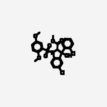 COC(=O)C1N(S(=O)(=O)c2cc(OC)ccc2OC)c2ccc(Cl)cc2C1(O)c1ccccc1Cl